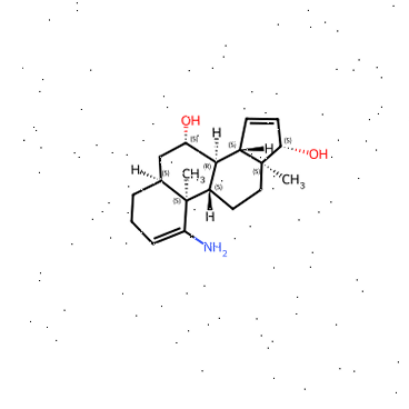 C[C@]12CC[C@H]3[C@@H]([C@@H](O)C[C@@H]4CCC=C(N)[C@@]43C)[C@@H]1C=C[C@@H]2O